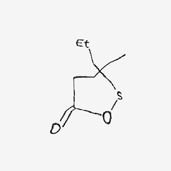 CCC1(C)CC(=O)OS1